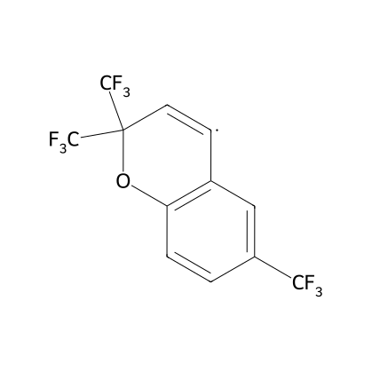 FC(F)(F)c1ccc2c(c1)[C]=CC(C(F)(F)F)(C(F)(F)F)O2